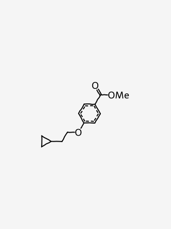 COC(=O)c1ccc(OCCC2CC2)cc1